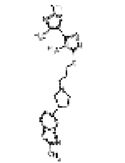 Cc1nc(C)c(-c2nnc(SCCCN3CC[C@@H](c4ccc5sc(C)nc5c4)C3)n2C)s1